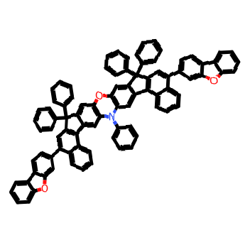 c1ccc(N2c3cc4c(cc3Oc3cc5c(cc32)-c2c(cc(-c3ccc6c(c3)oc3ccccc36)c3ccccc23)C5(c2ccccc2)c2ccccc2)C(c2ccccc2)(c2ccccc2)c2cc(-c3ccc5c(c3)oc3ccccc35)c3ccccc3c2-4)cc1